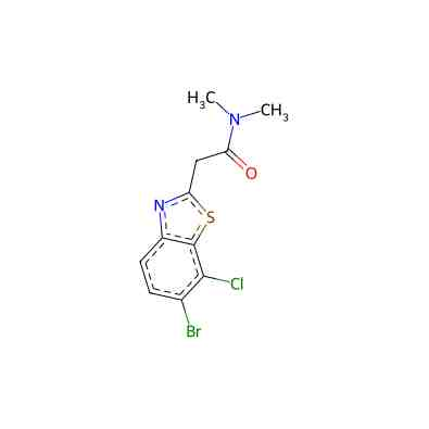 CN(C)C(=O)Cc1nc2ccc(Br)c(Cl)c2s1